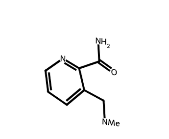 CNCc1cccnc1C(N)=O